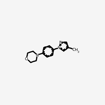 Cc1cnn(-c2ccc(N3CCOCC3)cc2)c1